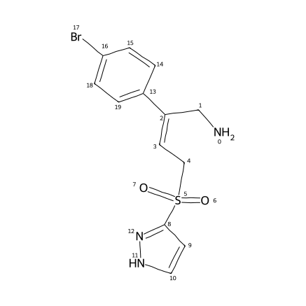 NCC(=CCS(=O)(=O)c1cc[nH]n1)c1ccc(Br)cc1